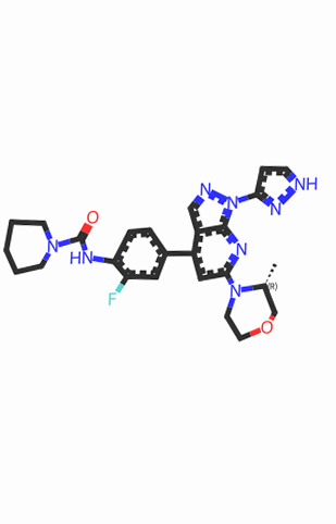 C[C@@H]1COCCN1c1cc(-c2ccc(NC(=O)N3CCCCC3)c(F)c2)c2cnn(-c3cc[nH]n3)c2n1